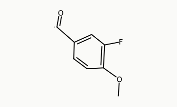 COc1ccc([C]=O)cc1F